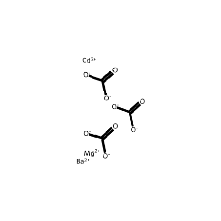 O=C([O-])[O-].O=C([O-])[O-].O=C([O-])[O-].[Ba+2].[Cd+2].[Mg+2]